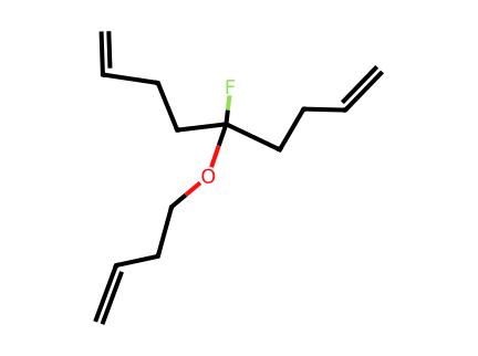 C=CCCOC(F)(CCC=C)CCC=C